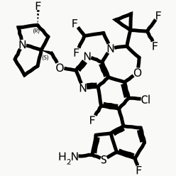 Nc1cc2c(-c3c(Cl)c4c5c(nc(OC[C@@]67CCCN6C[C@H](F)C7)nc5c3F)N(CC(F)F)C(C3(C(F)F)CC3)CO4)ccc(F)c2s1